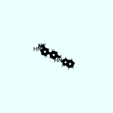 c1ccc2c(c1)CC(NCc1ccc(-c3ccc4[nH]ncc4c3)cc1)C2